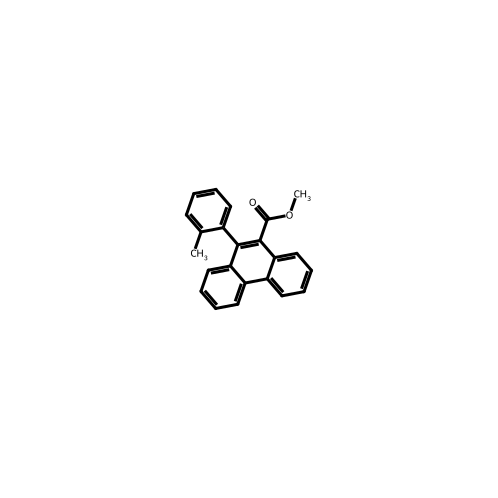 COC(=O)c1c(-c2ccccc2C)c2ccccc2c2ccccc12